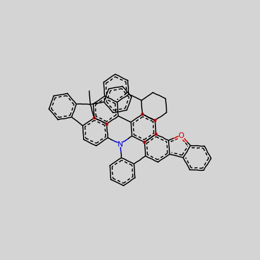 CC1(c2ccccc2)c2ccccc2-c2ccc(N(c3ccccc3-c3ccc4oc5ccccc5c4c3)c3ccccc3-c3cccc4cccc(C5CCCCC5)c34)cc21